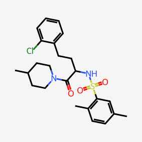 Cc1ccc(C)c(S(=O)(=O)NC(CCc2ccccc2Cl)C(=O)N2CCC(C)CC2)c1